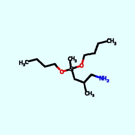 CCCCO[Si](C)(CC(C)CN)OCCCC